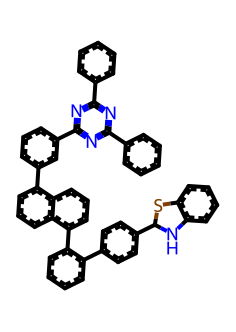 c1ccc(-c2nc(-c3ccccc3)nc(-c3cccc(-c4cccc5c(-c6ccccc6-c6ccc(C7Nc8ccccc8S7)cc6)cccc45)c3)n2)cc1